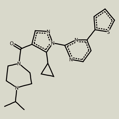 CC(C)N1CCN(C(=O)c2cnn(-c3nccc(-c4cccs4)n3)c2C2CC2)CC1